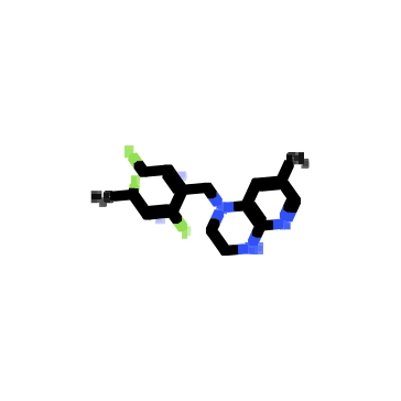 Cc1cnc2c(c1)N(CC(=C/CF)/C(F)=C\C(C)F)CCN2